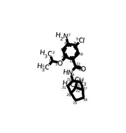 CC(C)Oc1cc(N)c(Cl)cc1C(=O)NC1CC2CCC(C1)C2(C)C